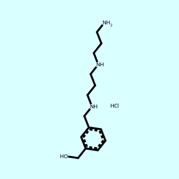 Cl.NCCCNCCCNCc1cccc(CO)c1